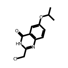 CC(C)Oc1ccc2nc(CCl)[nH]c(=O)c2c1